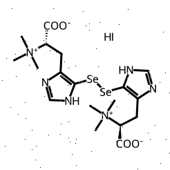 C[N+](C)(C)[C@@H](Cc1nc[nH]c1[Se][Se]c1[nH]cnc1C[C@@H](C(=O)[O-])[N+](C)(C)C)C(=O)[O-].I